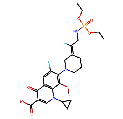 CCOP(=O)(NCC(F)=C1CCCN(c2c(F)cc3c(=O)c(C(=O)O)cn(C4CC4)c3c2OC)C1)OCC